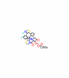 COC(=O)OCOc1c2n(ccc1=O)N([C@@H]1c3ccccc3-c3scnc3-c3c1ccc(F)c3F)[C@@H]1CSCCN1C2=O